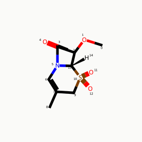 COC1C(=O)N2C=C(C)CS(=O)(=O)[C@@H]12